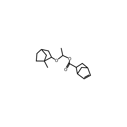 CC(OC(=O)C1CC2C=CC1C2)OC1CC2CCC1(C)C2